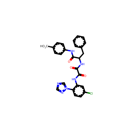 O=C(Nc1cc(Cl)ccc1-n1cncn1)C(=O)NC(Cc1ccccc1)C(=O)Nc1ccc(C(=O)O)cc1